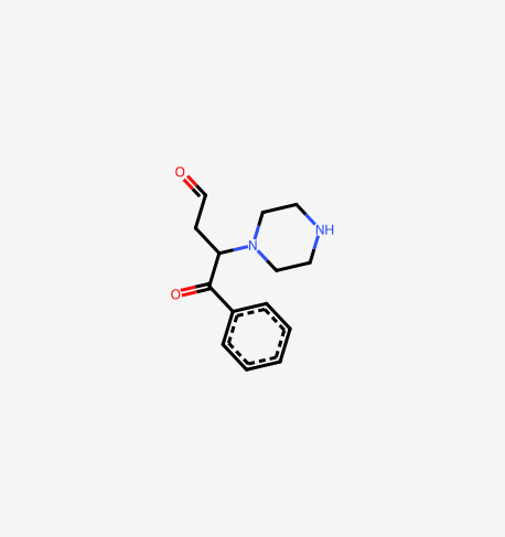 O=CCC(C(=O)c1ccccc1)N1CCNCC1